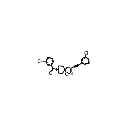 O=C(c1cccc(Cl)c1)N1CCC2(CC1)CC(C#Cc1cccc(Cl)c1)=NO2